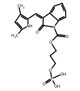 Cc1cc(C)c(/C=C2\C(=O)N(C(=O)OCCCOP(=O)(O)O)c3ccccc32)[nH]1